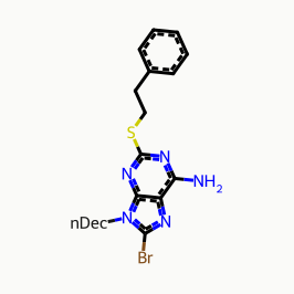 CCCCCCCCCCn1c(Br)nc2c(N)nc(SCCc3ccccc3)nc21